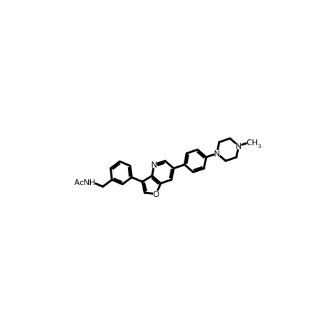 CC(=O)NCc1cccc(-c2coc3cc(-c4ccc(N5CCN(C)CC5)cc4)cnc23)c1